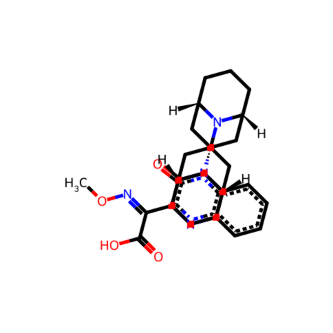 CO/N=C(\C(=O)O)c1nc2ccccc2n([C@H]2C[C@H]3CCC[C@@H](C2)N3C2C[C@H]3CCC[C@@H](C2)C3)c1=O